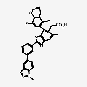 Cc1cc2nc(-c3cccc(-c4ccc5c(cnn5C)c4)c3)sc2c(-c2cc(F)c3c(c2C)CCCO3)c1CC(=O)O